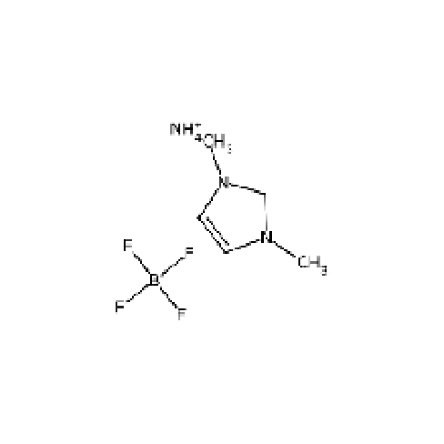 CN1C=CN(C)C1.F[B-](F)(F)F.[NH4+]